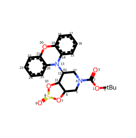 CC(C)(C)OC(=O)N1CC2OS(=O)OC2[C@@H](N2c3ccccc3Oc3ccccc32)C1